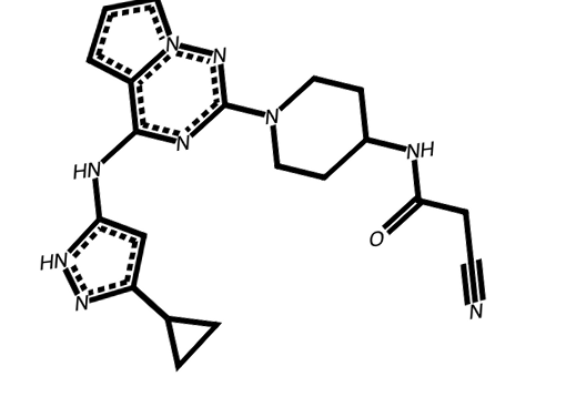 N#CCC(=O)NC1CCN(c2nc(Nc3cc(C4CC4)n[nH]3)c3cccn3n2)CC1